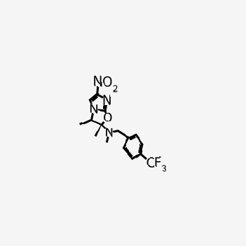 CC1n2cc([N+](=O)[O-])nc2O[C@]1(C)N(C)Cc1ccc(C(F)(F)F)cc1